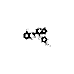 N/C(=N\c1c(F)cccc1Cl)c1cnn2cccc2c1N[C@@H]1CC[C@H](N)C1